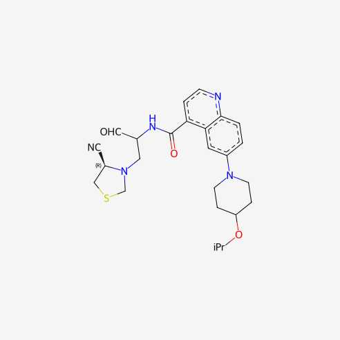 CC(C)OC1CCN(c2ccc3nccc(C(=O)NC(C=O)CN4CSC[C@H]4C#N)c3c2)CC1